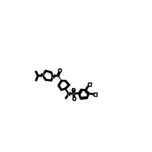 CC(C)N1CCN(C(=O)[C@H]2CC[C@H](N(C)S(=O)(=O)c3ccc(Cl)c(Cl)c3)CC2)CC1